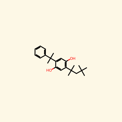 CC(C)(C)CC(C)(C)c1cc(O)c(C(C)(C)c2ccccc2)cc1O